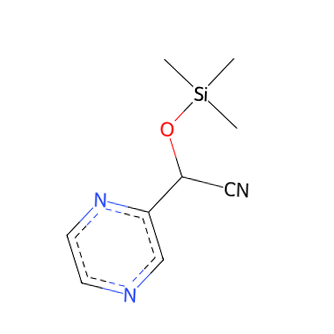 C[Si](C)(C)OC(C#N)c1cnccn1